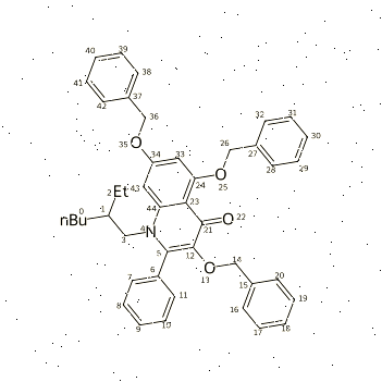 CCCCC(CC)Cn1c(-c2ccccc2)c(OCc2ccccc2)c(=O)c2c(OCc3ccccc3)cc(OCc3ccccc3)cc21